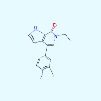 CCn1cc(-c2ccc(C)c(C)c2)c2cc[nH]c2c1=O